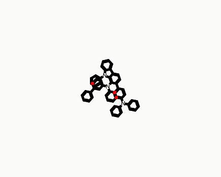 c1ccc(-c2cccc(N(c3ccccc3)c3c(-c4ccc(N(c5ccccc5)c5ccccc5)cc4)ccc4c5ccccc5n(-c5ccccc5)c34)c2)cc1